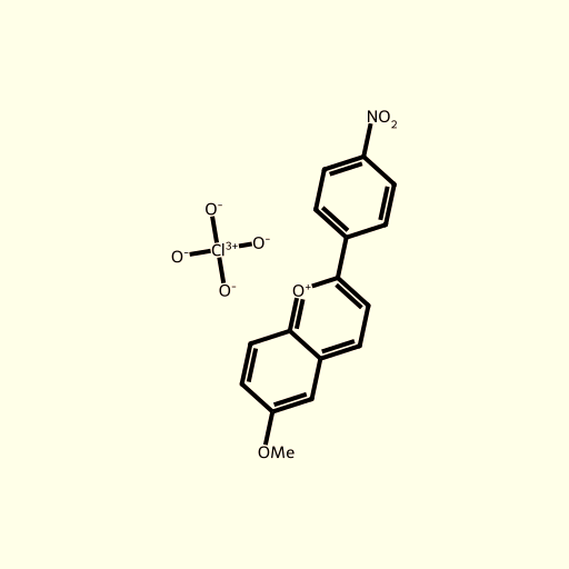 COc1ccc2[o+]c(-c3ccc([N+](=O)[O-])cc3)ccc2c1.[O-][Cl+3]([O-])([O-])[O-]